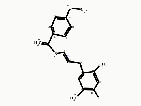 C=C(S/C=C/Cc1cc(C)c(I)cc1C)c1ccc(OC(F)(F)F)cc1